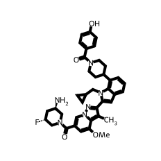 COc1cc(C(=O)N2C[C@H](N)C[C@@H](F)C2)cn2nc(-c3cc4cccc(C5CCN(C(=O)c6ccc(O)cc6)CC5)c4n3CC3CC3)c(C)c12